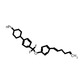 C=CCCC=Cc1ccc(OC(F)(F)c2ccc(C3CCC(CCC)CC3)cc2)cc1